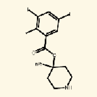 CCCC1(OC(=O)c2cc(I)cc(I)c2I)CCNCC1